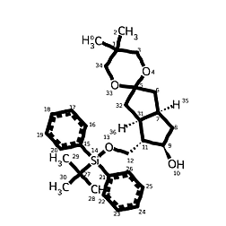 CC1(C)COC2(C[C@H]3C[C@@H](O)[C@H](CO[Si](c4ccccc4)(c4ccccc4)C(C)(C)C)[C@H]3C2)OC1